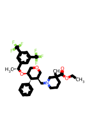 CCOC(=O)C1(C)CCCN(C[C@@H]2COC[C@H](O[C@H](C)c3cc(C(F)(F)F)cc(C(F)(F)F)c3)[C@H]2c2ccccc2)C1